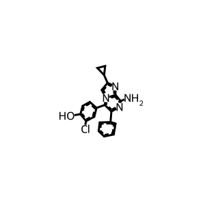 Nc1nc(-c2ccccc2)c(-c2ccc(O)c(Cl)c2)n2cc(C3CC3)nc12